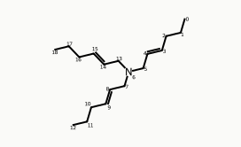 CCC/C=C/CN(C/C=C/CCC)C/C=C/CCC